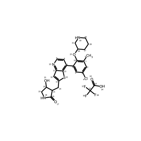 Cc1cc(Cl)cc(-c2ccnc3cc(CC4C(=O)NCC4O)sc23)c1OC1CCCNC1.O=C(O)C(F)(F)F